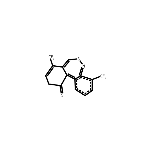 FC(F)(F)C1=CCC(=S)C2=c3cccc(C(F)(F)F)c3=NSC=C12